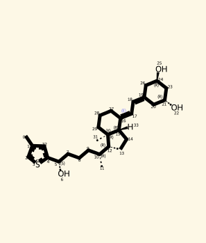 Cc1csc([C@@H](O)CCC[C@@H](C)[C@H]2CC[C@H]3/C(=C/C=C4C[C@@H](O)C[C@H](O)C4)CCC[C@]23C)c1